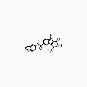 CC1CNC(=O)c2[nH]c3ccc(C(=O)Nc4ccc5[nH]ccc5c4)cc3c21